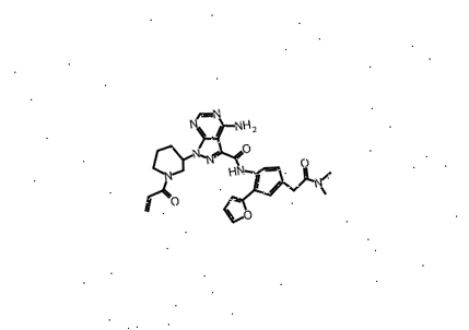 C=CC(=O)N1CCCC(n2nc(C(=O)Nc3ccc(CC(=O)N(C)C)cc3-c3ccco3)c3c(N)ncnc32)C1